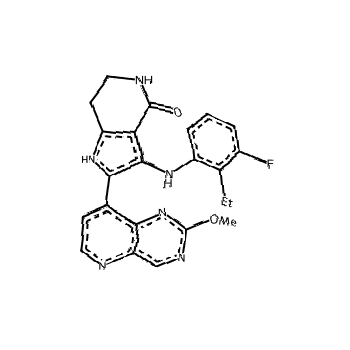 CCc1c(F)cccc1Nc1c(-c2ccnc3cnc(OC)nc23)[nH]c2c1C(=O)NCC2